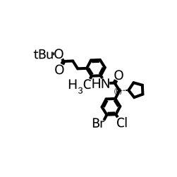 Cc1c(CCC(=O)OC(C)(C)C)cccc1NC(=O)[C@@H](c1ccc(Br)c(Cl)c1)C1CCCC1